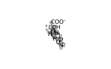 C[C@H](CCC(=O)[O-])[C@H]1CC[C@H]2[C@@H]3CC[C@@H]4C[C@H](OC(=O)C[N+](C)(C)C)CC[C@]4(C)[C@H]3C[C@H](O)[C@]12C